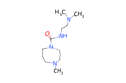 CN(C)CCNC(=O)N1CCCN(C)CC1